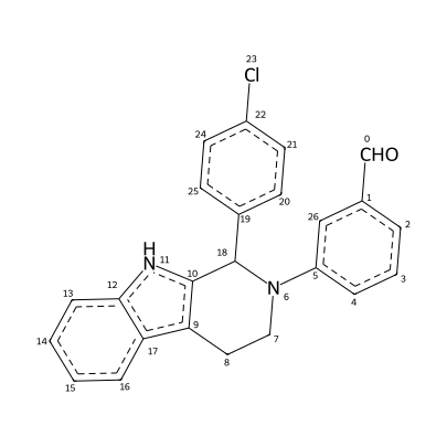 O=Cc1cccc(N2CCc3c([nH]c4ccccc34)C2c2ccc(Cl)cc2)c1